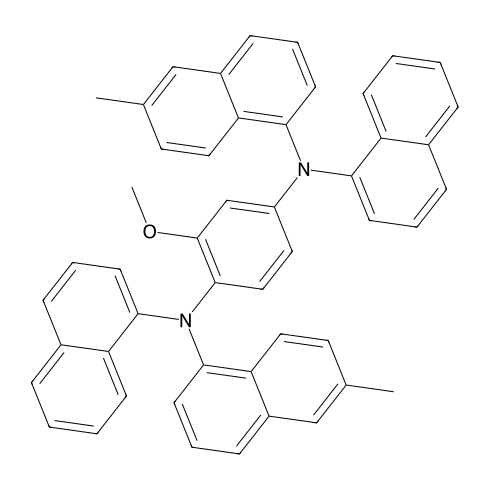 COc1cc(N(c2cccc3ccccc23)c2cccc3cc(C)ccc23)ccc1N(c1cccc2ccccc12)c1cccc2cc(C)ccc12